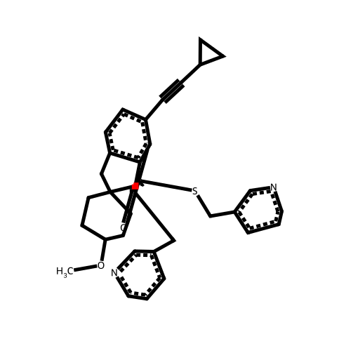 COC1CCC2(CC1)Cc1ccc(C#CC3CC3)cc1C21N=C(SCc2cccnc2)N(Cc2cccnc2)C1=O